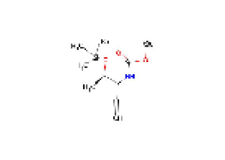 C#C[C@@H](NC(=O)OC(C)(C)C)[C@@H](C)O[Si](C)(C)C(C)(C)C